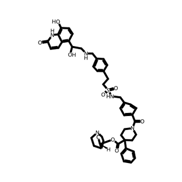 O=C(c1ccc(CNS(=O)(=O)CCc2ccc(CNCC(O)c3ccc(O)c4[nH]c(=O)ccc34)cc2)cc1)N1CCC(C(=O)O[C@H]2CN3CCC2CC3)(c2ccccc2)CC1